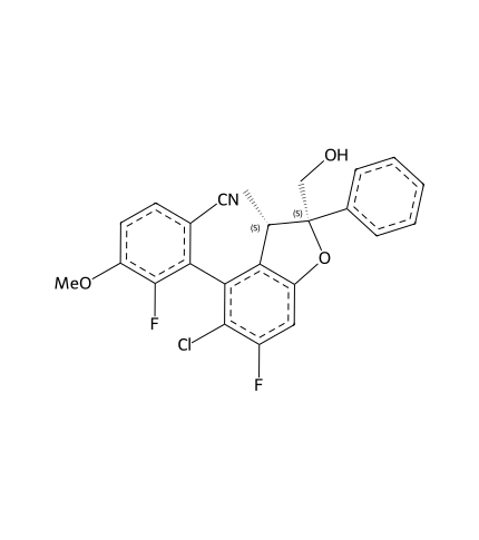 COc1ccc(C#N)c(-c2c(Cl)c(F)cc3c2[C@H](C)[C@@](CO)(c2ccccc2)O3)c1F